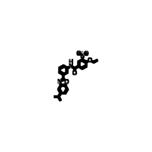 CCOc1ccc(C(=O)Nc2cccc(-c3nc4cc(C(C)C)ccc4o3)c2)cc1[N+](=O)[O-]